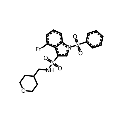 CCc1cccc2c1c(S(=O)(=O)NCC1CCOCC1)cn2S(=O)(=O)c1ccccc1